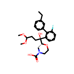 CCc1cccc(-c2c(F)cccc2[C@@](O)(CCC(OC)OC)[C@H]2CN(C(=O)O)CCO2)c1